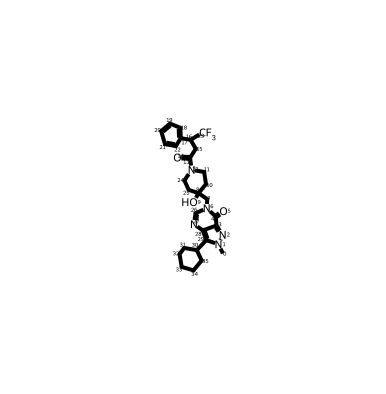 Cn1nc2c(=O)n(CC3(O)CCN(C(=O)CC(c4ccccc4)C(F)(F)F)CC3)cnc2c1C1CCCCC1